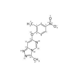 Cc1cc([N+](=O)[O-])ccc1Oc1cc2nnc(C)n2cn1